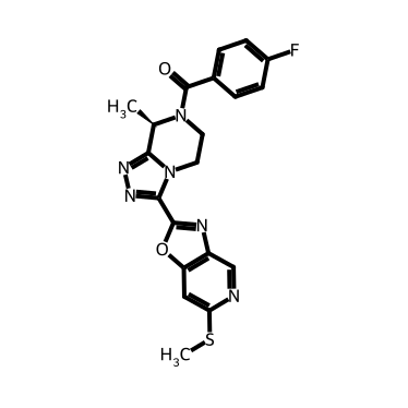 CSc1cc2oc(-c3nnc4n3CCN(C(=O)c3ccc(F)cc3)[C@@H]4C)nc2cn1